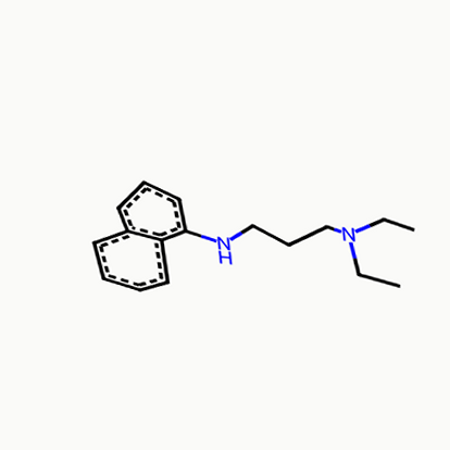 CCN(CC)CCCNc1cccc2ccccc12